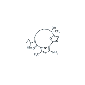 CC(C)(C)C1(N2CCCCC[C@](O)(C(F)(F)F)c3nnc(o3)-c3nc(c(C(F)(F)F)cc3N)C2=O)CC1